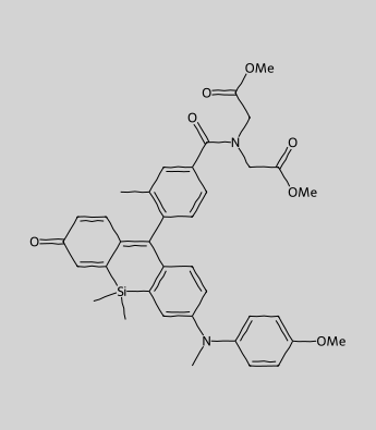 COC(=O)CN(CC(=O)OC)C(=O)c1ccc(C2=C3C=CC(=O)C=C3[Si](C)(C)c3cc(N(C)c4ccc(OC)cc4)ccc32)c(C)c1